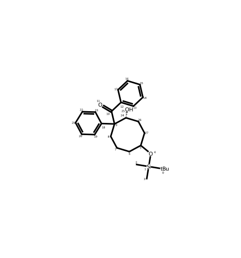 CC(C)(C)[Si](C)(C)OC1CCCC(C(=O)c2ccccc2)(c2ccccc2)[C@H](O)CC1